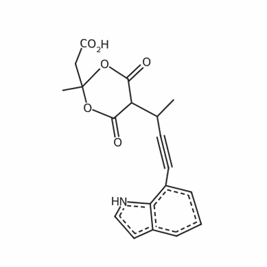 CC(C#Cc1cccc2cc[nH]c12)C1C(=O)OC(C)(CC(=O)O)OC1=O